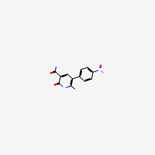 Cc1[nH]c(=O)c(C(N)=O)cc1-c1ccc([N+](=O)[O-])cc1